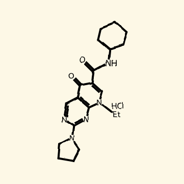 CCn1cc(C(=O)NC2CCCCC2)c(=O)c2cnc(N3CCCC3)nc21.Cl